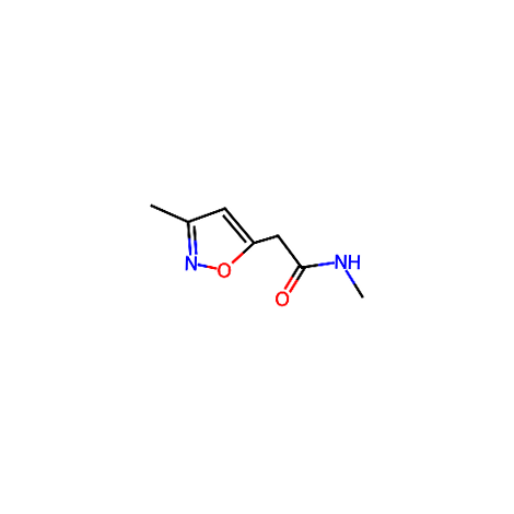 CNC(=O)Cc1cc(C)no1